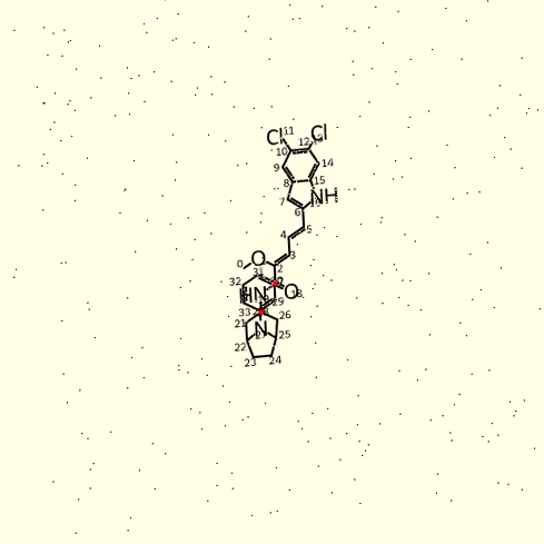 CO/C(=C\C=C\c1cc2cc(Cl)c(Cl)cc2[nH]1)C(=O)NC1CC2CCC(C1)N2c1ccccc1